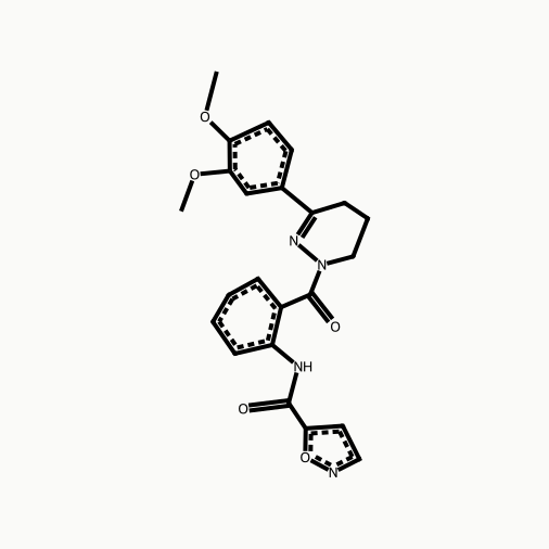 COc1ccc(C2=NN(C(=O)c3ccccc3NC(=O)c3ccno3)CCC2)cc1OC